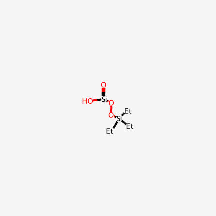 CC[Si](CC)(CC)OO[Si](=O)O